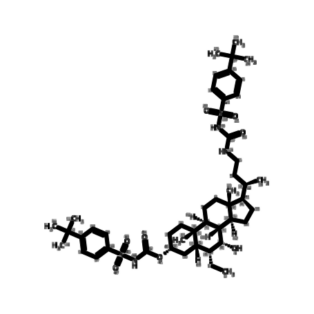 CC[C@H]1[C@@H](O)[C@@H]2[C@H](CC[C@]3(C)[C@@H]([C@H](C)CCNC(=O)NS(=O)(=O)c4ccc(C(C)(C)C)cc4)CC[C@@H]23)[C@@]2(C)CC[C@@H](OC(=O)NS(=O)(=O)c3ccc(C(C)(C)C)cc3)C[C@@H]12